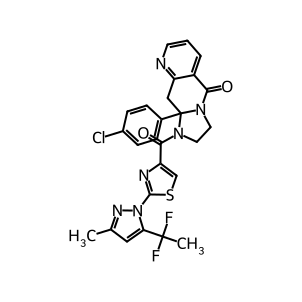 Cc1cc(C(C)(F)F)n(-c2nc(C(=O)N3CCN4C(=O)c5cccnc5CC34c3ccc(Cl)cc3)cs2)n1